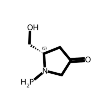 O=C1C[C@@H](CO)N(P)C1